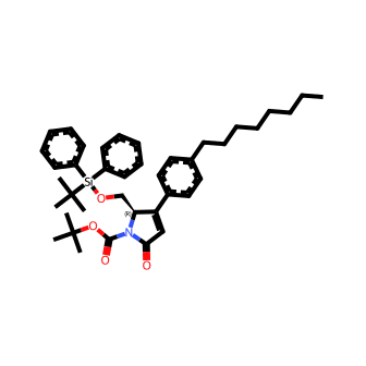 CCCCCCCCc1ccc(C2=CC(=O)N(C(=O)OC(C)(C)C)[C@H]2CO[Si](c2ccccc2)(c2ccccc2)C(C)(C)C)cc1